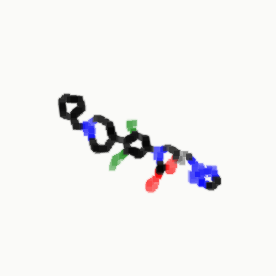 O=C1O[C@@H](Cn2nccn2)CN1c1cc(F)c(C2=CCN(Cc3ccccc3)CC2)c(F)c1